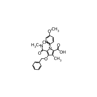 COc1ccc(-n2c(C(=O)O)c(C)c(OCc3ccccc3)c2C(=O)N(C)C)cc1